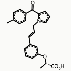 Cc1ccc(C(=O)c2cccn2C/C=C/c2cccc(O[C@@H](C)C(=O)O)c2)cc1